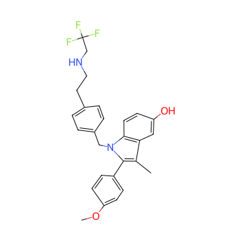 COc1ccc(-c2c(C)c3cc(O)ccc3n2Cc2ccc(CCNCC(F)(F)F)cc2)cc1